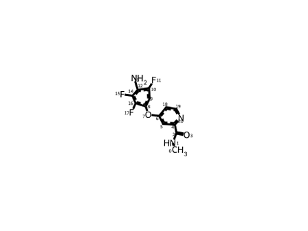 CNC(=O)c1cc(Oc2cc(F)c(N)c(F)c2F)ccn1